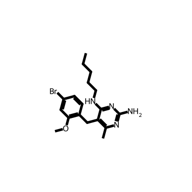 CCCCCNc1nc(N)nc(C)c1Cc1ccc(Br)cc1OC